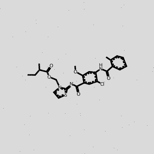 CCC(C)C(=O)OCn1ccsc1=NC(=O)c1cc(Cl)c(NC(=O)c2ccccc2C)cc1OC